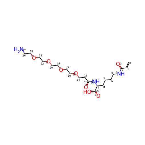 C=CC(=O)NCCCCC(NC(=O)CCOCCOCCOCCOCCN)C(=O)O